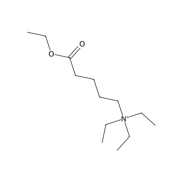 CCOC(=O)CCCC[N+](CC)(CC)CC